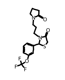 O=C1CCCN1CCCN1C(=O)CSC1c1cccc(OC(F)(F)F)c1